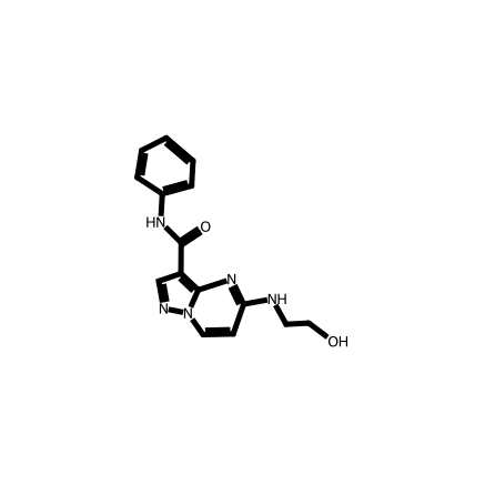 O=C(Nc1ccccc1)c1cnn2ccc(NCCO)nc12